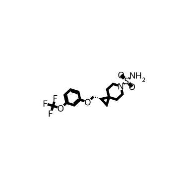 NS(=O)(=O)N1CCC2(CC1)C[C@@H]2COc1cccc(OC(F)(F)F)c1